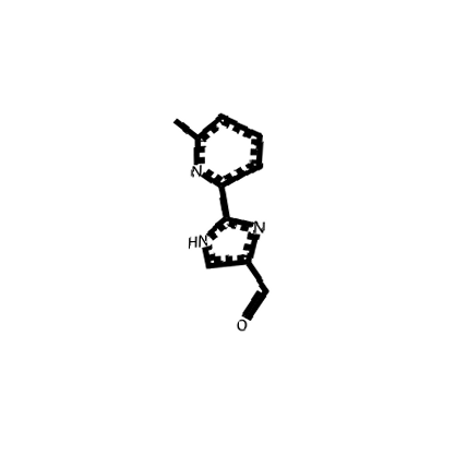 Cc1cccc(-c2nc(C=O)c[nH]2)n1